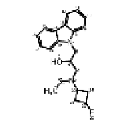 CSN(CC(O)Cn1c2ccccc2c2ccccc21)C1CC(F)C1